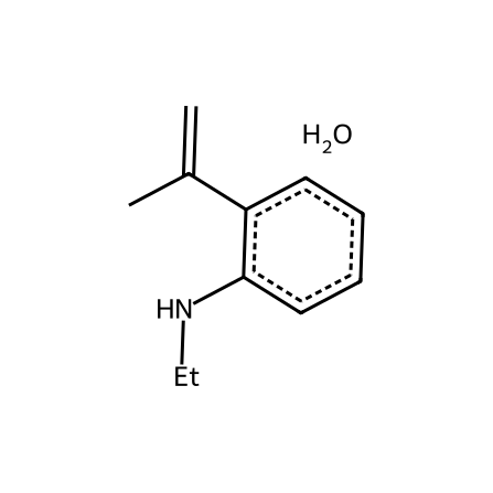 C=C(C)c1ccccc1NCC.O